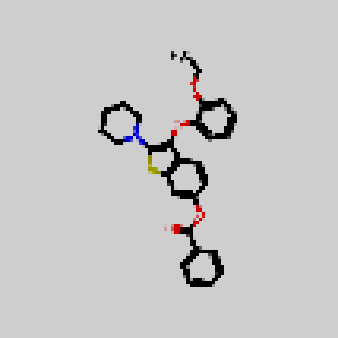 CCOc1ccccc1Oc1c(N2CCCCC2)sc2cc(OC(=O)c3ccccc3)ccc12